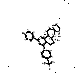 C[C@@H]1[C@H]2CCc3c(-c4ccc(C(F)(F)F)cc4)nc(-c4ccncc4)nc3[C@]2(C)CCC12OCCO2